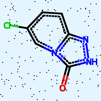 O=c1[nH]nc2c[c]c(Cl)cn12